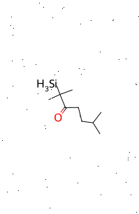 CC(C)CCC(=O)C(C)(C)[SiH3]